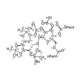 CCCCCC(=O)OC[C@H]1O[C@@H](OOC[C@H]2OC(C)(C)O[C@H]2[C@@H]2OC(C)(C)O[C@@H]2CO[Si](C)(C)C(C)(C)C)[C@@H](OC(=O)CC)[C@@H](OC(=O)CC)[C@@H]1OC(=O)CCCCC